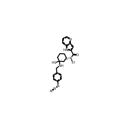 CCN(C(=O)c1cc2ncccc2[nH]1)[C@H]1CCCC(S)(NCc2ccc(N=[N+]=[N-])cc2)C1